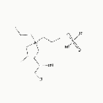 CCC[N+](CCC)(CCC)CCC(O)CCl.O=S(=O)([O-])O